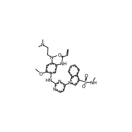 C=CC(=O)Nc1cc(Nc2nccc(-n3cc(S(=O)(=O)NC)c4ccccc43)n2)c(OC)cc1N(C)CCN(C)C